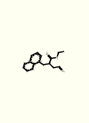 CCOC(=O)C(CC=O)Cc1cccc2ccccc12